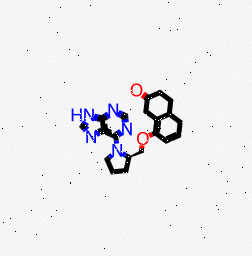 O=C1CCC2CC=CC(OC[C@H]3CCCN3c3ncnc4[nH]cnc34)=C2C1